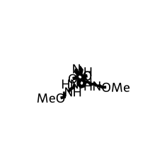 COCCNCCNc1ccc(NCCNCCOC)c2c1C(=O)c1ccncc1C2=O